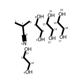 CC(C)C#N.OCCO.OCCO.OCCO.OCCO